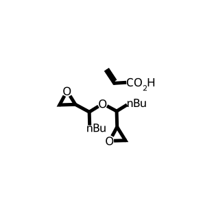 C=CC(=O)O.CCCCC(OC(CCCC)C1CO1)C1CO1